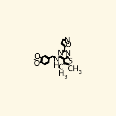 Cc1sc2nc(-c3ccno3)nc(NCc3ccc4c(c3)OCO4)c2c1C